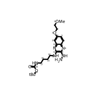 COCCOc1ccc2nc(NN)c(NCCCCNC(=O)OC(C)(C)C)nc2c1